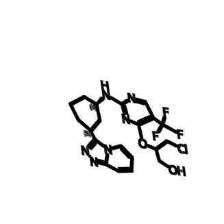 OCC(CCl)Oc1nc(N[C@@H]2CCC[C@H](c3nnc4ccccn34)C2)ncc1C(F)(F)F